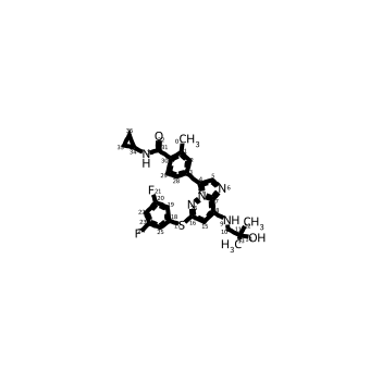 Cc1cc(-c2cnc3c(NCC(C)(C)O)cc(Sc4cc(F)cc(F)c4)nn23)ccc1C(=O)NC1CC1